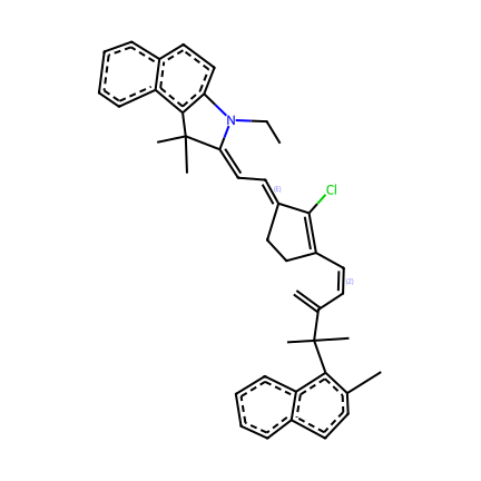 C=C(/C=C\C1=C(Cl)C(=C/C=C2N(CC)c3ccc4ccccc4c3C2(C)C)/CC1)C(C)(C)c1c(C)ccc2ccccc12